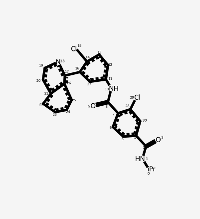 CC(C)NC(=O)c1ccc(C(=O)Nc2ccc(Cl)c(-c3nccc4ccccc34)c2)c(Cl)c1